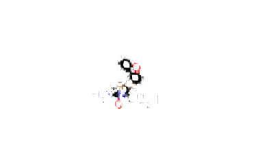 N[C@@H]1C(=O)N2C(C(=O)O)=C(Sc3ccc4oc5ccccc5c4c3)CS[C@H]12